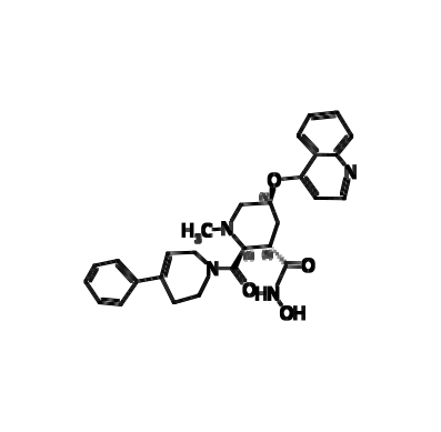 CN1C[C@@H](Oc2ccnc3ccccc23)C[C@H](C(=O)NO)[C@H]1C(=O)N1CC=C(c2ccccc2)CC1